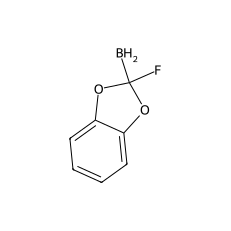 BC1(F)Oc2ccccc2O1